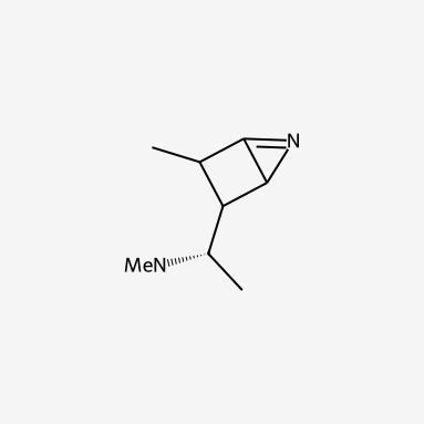 CN[C@@H](C)C1C(C)C2=NC21